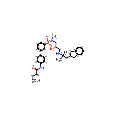 CN(C[C@H](O)CNC(C)(C)CC1Cc2ccccc2C1)S(=O)(=O)c1cccc(-c2ccc(NC(=O)CCC(=O)O)cc2)c1